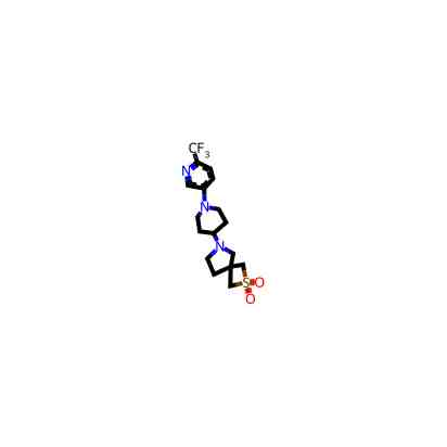 O=S1(=O)CC2(CCN(C3CCN(c4ccc(C(F)(F)F)nc4)CC3)C2)C1